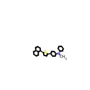 CN(c1ccccc1)c1ccc(-c2ccc(-c3cccc4ccccc34)s2)cc1